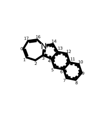 C1=CCc2c3cc4ccccc4cc3cn2C=C1